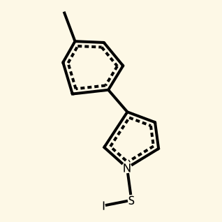 Cc1ccc(-c2ccn(SI)c2)cc1